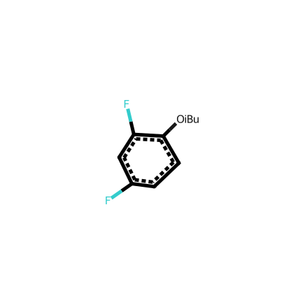 CC(C)COc1ccc(F)cc1F